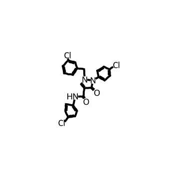 O=C(Nc1ccc(Cl)cc1)c1cn(Cc2cccc(Cl)c2)n(-c2ccc(Cl)cc2)c1=O